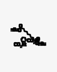 CCCCOC(=O)CCCCCCCCC(=O)OCCCC.CCOC(=O)c1ccccc1C(=O)OCC